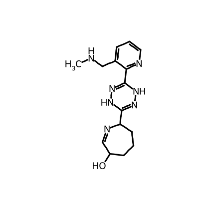 CNCc1cccnc1C1=NNC(C2CCCC(O)C=N2)=NN1